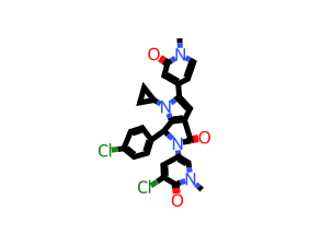 Cn1ccc(-c2cc3c(n2C2CC2)C(c2ccc(Cl)cc2)N(c2cc(Cl)c(=O)n(C)c2)C3=O)cc1=O